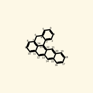 c1ccc2c(c1)Cc1cccc3cc4cc5ccccc5cc4c-2c13